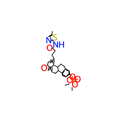 CCOP(=O)(OCC)Oc1ccc2c(c1)CCC1C2CC[C@]2(C)C(=O)C[C@@H](CCCC(=O)Nc3ncc(C)s3)C12